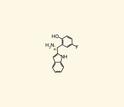 N[C@@H](c1cc2ccccc2[nH]1)c1cc(F)ccc1O